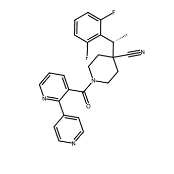 C[C@@H](c1c(F)cccc1F)C1(C#N)CCN(C(=O)c2cccnc2-c2ccncc2)CC1